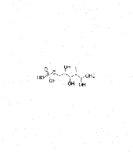 O=CC(O)C(F)C(O)C(O)COP(=O)(O)O